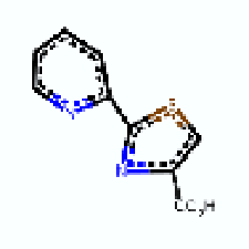 O=C(O)c1csc(-c2ccccn2)n1